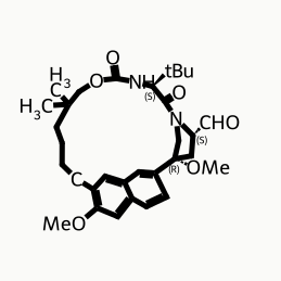 COc1cc2ccc3cc2cc1CCCCC(C)(C)COC(=O)N[C@@H](C(C)(C)C)C(=O)N1C[C@@]3(OC)C[C@H]1C=O